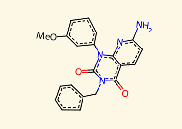 COc1cccc(-n2c(=O)n(Cc3ccccc3)c(=O)c3ccc(N)nc32)c1